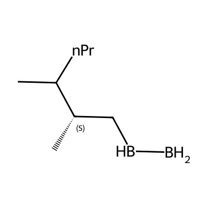 BBC[C@H](C)C(C)CCC